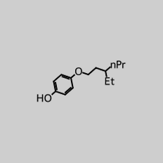 CCCC(CC)CCOc1ccc(O)cc1